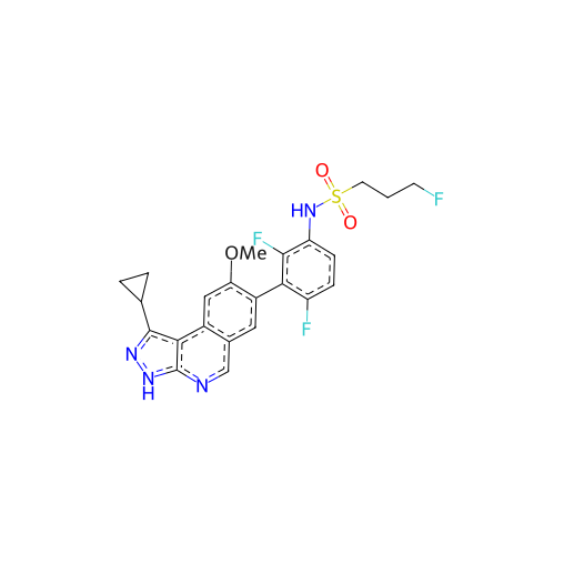 COc1cc2c(cnc3[nH]nc(C4CC4)c32)cc1-c1c(F)ccc(NS(=O)(=O)CCCF)c1F